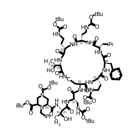 CCC(C)OC(=O)C1CN(C(=O)OC(C)(C)C)C[C@@H](C(=O)N[C@H](C(=O)N[C@@H](CNC(=O)OC(C)(C)C)C(=O)N[C@H]2CCNC(=O)[C@H]([C@@H](C)O)NC(=O)[C@H](CCNC(=O)OC(C)(C)C)NC(=O)[C@H](CCNC(=O)OC(C)(C)C)NC(=O)[C@H](CC(C)C)NC(=O)[C@@H](Cc3ccccc3)NC(=O)[C@H](CCNC(=O)OC(C)(C)C)NC2=O)[C@H](C)O)N1CC(C)C